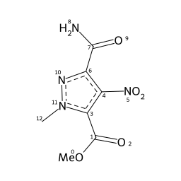 COC(=O)c1c([N+](=O)[O-])c(C(N)=O)nn1C